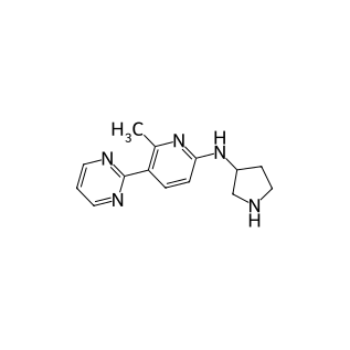 Cc1nc(NC2CCNC2)ccc1-c1ncccn1